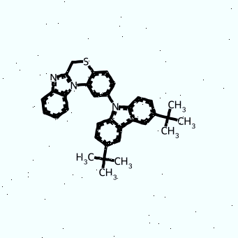 CC(C)(C)c1ccc2c(c1)c1cc(C(C)(C)C)ccc1n2-c1ccc2c(c1)-n1c(nc3ccccc31)CS2